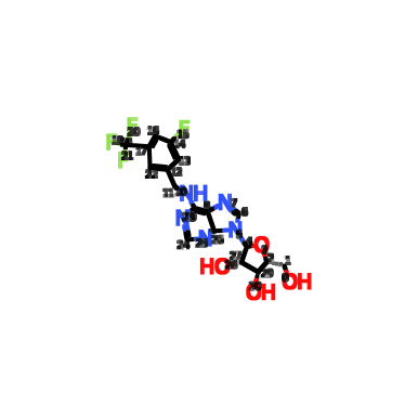 OC[C@H]1OC(n2cnc3c(NCc4cc(F)cc(C(F)(F)F)c4)ncnc32)[C@@H](O)[C@@H]1O